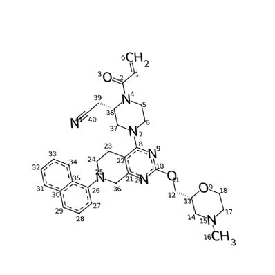 C=CC(=O)N1CCN(c2nc(OC[C@H]3CN(C)CCO3)nc3c2CCN(c2cccc4ccccc24)C3)C[C@@H]1CC#N